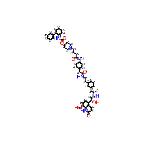 C[C@H](Cc1cccc(CCNC(=O)Cc2ccc(N(C)C(=O)CCCN3CCC(OC(=O)Nc4ccccc4-c4ccccc4)CC3)cc2)c1)NC[C@H](O)c1ccc(O)c2[nH]c(=O)ccc12